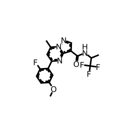 COc1ccc(F)c(-c2cc(C)n3ncc(C(=O)NC(C)C(F)(F)F)c3n2)c1